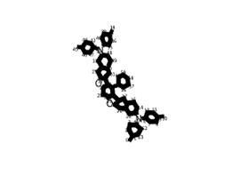 Cc1ccc(N(c2ccc(C)cc2)c2ccc3cc4c(cc3c2)oc2cc3oc5cc6cc(N(c7ccc(C)cc7)c7ccc(C)cc7)ccc6cc5c3c(-c3ccccc3)c24)cc1